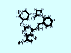 CC(C)c1cnn2c(NCc3ccccc3N3CCC3=O)nc(O[C@@H]3CCCNC3)nc12